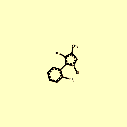 CCn1nc(C)c(O)c1-c1ccccc1C